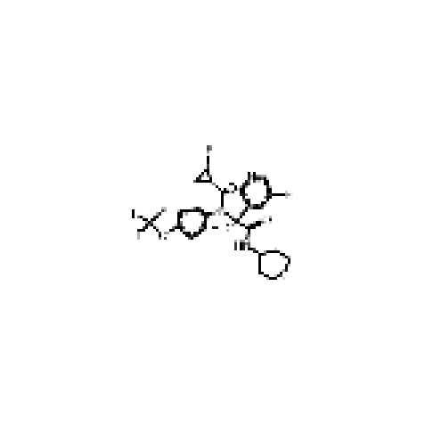 CC(C(=O)NC1CCOCC1)(c1cncc(F)c1)N(C(=O)[C@H]1C[C@H]1F)c1ccc(OC(F)(F)F)cc1